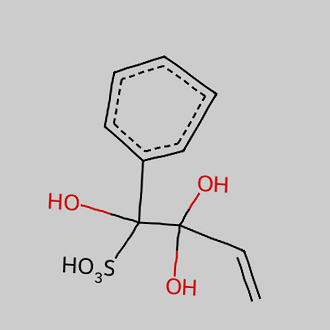 C=CC(O)(O)C(O)(c1ccccc1)S(=O)(=O)O